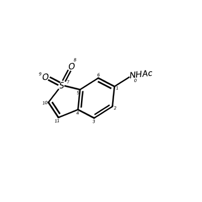 CC(=O)Nc1ccc2c(c1)S(=O)(=O)C=C2